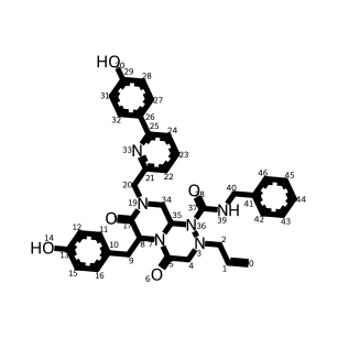 C=CCN1CC(=O)N2C(Cc3ccc(O)cc3)C(=O)N(Cc3cccc(-c4ccc(O)cc4)n3)CC2N1C(=O)NCc1ccccc1